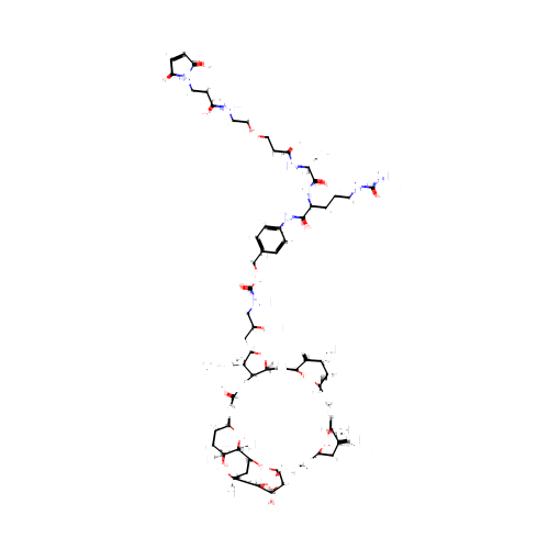 C=C1C2C[C@@H]3O[C@H](CC(O)CNC(=O)OCc4ccc(NC(=O)C(CCCNC(N)=O)NC(=O)[C@@H](NC(=O)CCOCCNC(=O)CCN5C(=O)C=CC5=O)C(C)C)cc4)[C@H](OC)C3CC(=O)CC3CC[C@@H]4O[C@@H]5CC(O[C@@]6(CCC7CC(=C)[C@H](CC[C@@H](C[C@H]1C)O2)O7)C[C@@H](O)C5O6)[C@H]4O3